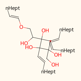 CCCCCCCC=COCC(O)C(O)(C=CCCCCCCC)C(O)(C=CCCCCCCC)C(O)(C=CCCCCCCC)CO